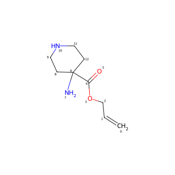 C=CCOC(=O)C1(N)CCNCC1